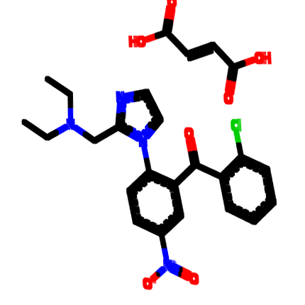 CCN(CC)Cc1nccn1-c1ccc([N+](=O)[O-])cc1C(=O)c1ccccc1Cl.O=C(O)C=CC(=O)O